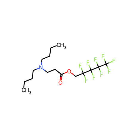 CCCCN(CCCC)CCC(=O)OCC(F)(F)C(F)(F)C(F)(F)C(F)(F)F